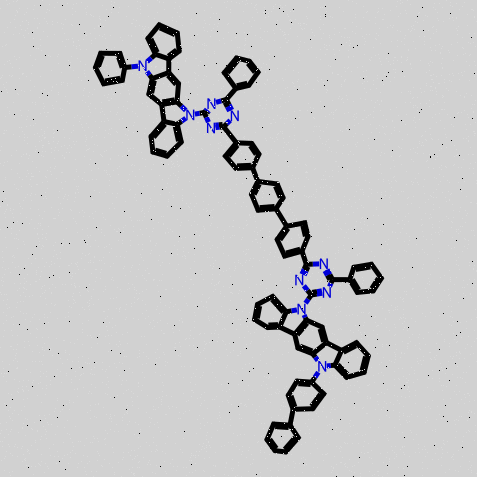 c1ccc(-c2ccc(-n3c4ccccc4c4cc5c(cc43)c3ccccc3n5-c3nc(-c4ccccc4)nc(-c4ccc(-c5ccc(-c6ccc(-c7nc(-c8ccccc8)nc(-n8c9ccccc9c9cc%10c(cc98)c8ccccc8n%10-c8ccccc8)n7)cc6)cc5)cc4)n3)cc2)cc1